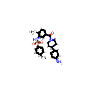 Cc1ccc(C(=O)N2CCC(c3ccc(N)cc3)CC2)cc1NS(=O)(=O)c1ccc(C#N)cc1